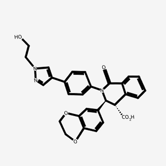 O=C(O)[C@H]1c2ccccc2C(=O)N(c2ccc(-c3cnn(CCO)c3)cc2)[C@@H]1c1ccc2c(c1)OCCO2